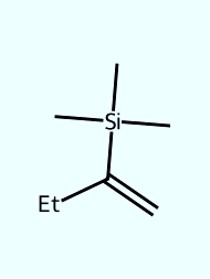 C=C(CC)[Si](C)(C)C